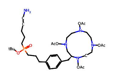 CC(=O)ON1CCN(OC(C)=O)CCN(OC(C)=O)[C@@H](Cc2ccc(CCCP(=O)(CCCCCN)OC(C)(C)C)cc2)CN(OC(C)=O)CC1